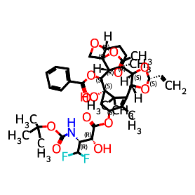 C=C[C@@H]1O[C@@H]2C3=C(C)[C@@H](OC(=O)[C@H](O)[C@@H](NC(=O)OC(C)(C)C)C(F)F)C[C@@](O)([C@@H](OC(=O)c4ccccc4)[C@H]4[C@@](C)(CC[C@H]5OC[C@]54OC(C)=O)[C@@H]2O1)C3(C)C